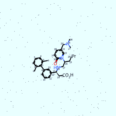 Cc1cccc(C)c1-c1cccc([C@H](CC(=O)O)NCC(CC(C)C)n2cc(CN(C)C)ccc2=O)c1